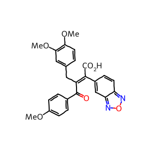 COc1ccc(C(=O)C(Cc2ccc(OC)c(OC)c2)=C(C(=O)O)c2ccc3nonc3c2)cc1